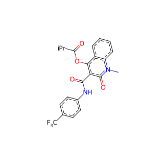 CC(C)C(=O)Oc1c(C(=O)Nc2ccc(C(F)(F)F)cc2)c(=O)n(C)c2ccccc12